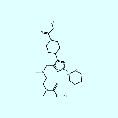 CC(C)CC(=O)N1CCC(c2nn([C@H]3CCCCO3)cc2CN(C)CCN(C)C(=O)OC(C)(C)C)CC1